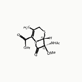 COC(=O)C1=C(C)CS[C@H]2N1C(=O)[C@]2(NC(C)=O)OC